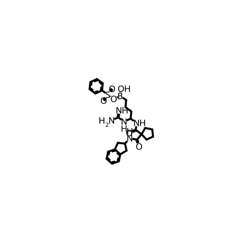 N=C(N)NC(CCCB(O)OS(=O)(=O)c1ccccc1)NC(=O)C1(C(=O)NC2Cc3ccccc3C2)CCCC1